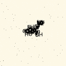 Cn1cc(CN(O)C[C@@H]2CC3[C@@H]4C[C@H](F)C5=CC(=O)C=C[C@]5(C)[C@@]4(F)[C@@H](O)C[C@]3(C)[C@H]2C(=O)CO)c2ccccc21